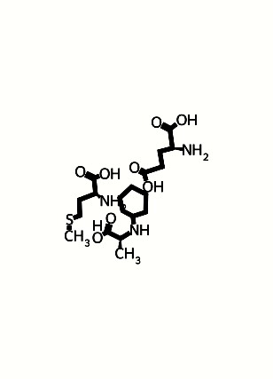 CSCC[C@H](N)C(=O)O.C[C@H](NC1CCCCC1)C(=O)O.N[C@@H](CCC(=O)O)C(=O)O